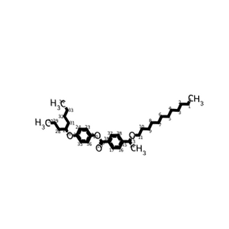 CCCCCCCCCCCCOC(C)c1ccc(C(=O)Oc2ccc(OC(CCC)CCCC)cc2)cc1